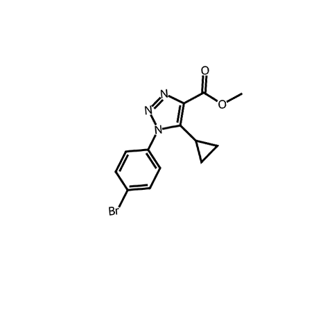 COC(=O)c1nnn(-c2ccc(Br)cc2)c1C1CC1